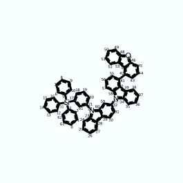 c1ccc([Si](c2ccccc2)(c2ccccc2)c2cccc(-n3c4ccccc4c4ccc(-n5c6ccccc6c6c(-c7cccc8oc9ccccc9c78)cccc65)cc43)c2)cc1